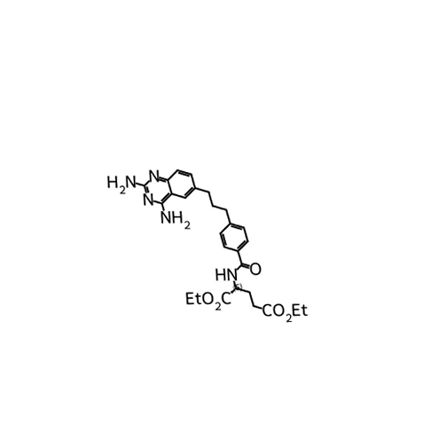 CCOC(=O)CC[C@H](NC(=O)c1ccc(CCCc2ccc3nc(N)nc(N)c3c2)cc1)C(=O)OCC